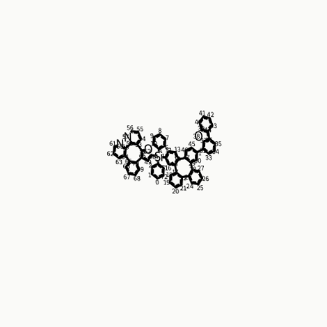 c1ccc([Si](c2ccccc2)(c2ccc3c(c2)-c2ccccc2-c2ccccc2-c2cc(-c4cccc5c4oc4ccccc45)ccc2-3)c2cc3c(o2)-c2cccnc2-c2ncccc2-c2ccccc2-3)cc1